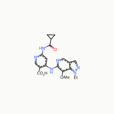 CCn1ncc2cnc(Nc3cc(NC(=O)C4CC4)ncc3C(=O)O)c(OC)c21